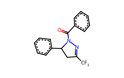 O=C(c1ccccc1)N1N=C(C(F)(F)F)CC1c1ccccc1